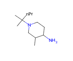 CCCC(C)(C)N1CCC(N)C(C)C1